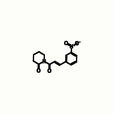 O=C(/C=C/c1cccc([N+](=O)[O-])c1)N1CCCCC1=O